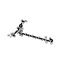 CC(C)C(=O)OCc1ccc(NC(=O)[C@H](CCCCNC(N)=O)NC(=O)[C@@H](NC(=O)CCOCCOCCOCCOCCOCCOCCNC(=O)CCN2C(=O)C=CC2=O)C(C)C)cc1